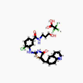 O=C(O)C(F)(F)F.O=C1N=C(Nc2cc(C(=O)NCCCO)ccc2Cl)SC1=Cc1ccc2ncccc2c1